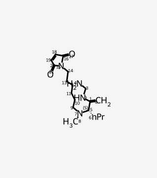 C=C(NCN)[C@H](CCC)N(C)CCCCCCN1C(=O)C=CC1=O